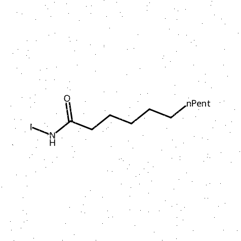 CCCCCCCCCCC(=O)NI